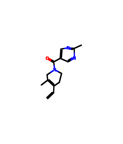 C=CC1=C(C)CN(C(=O)c2cnc(C)nc2)CC1